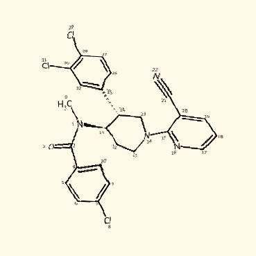 CN(C(=O)c1ccc(Cl)cc1)[C@@H]1CCN(c2ncccc2C#N)C[C@H]1c1ccc(Cl)c(Cl)c1